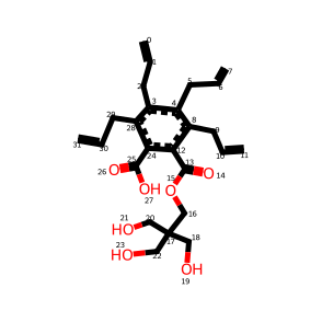 C=CCc1c(CC=C)c(CC=C)c(C(=O)OCC(CO)(CO)CO)c(C(=O)O)c1CC=C